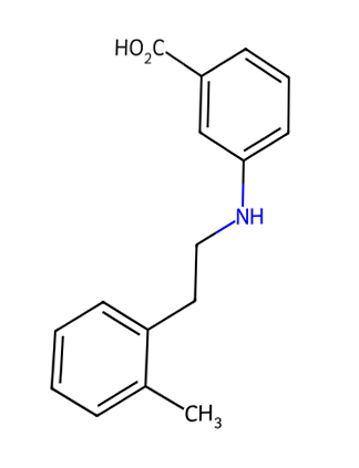 Cc1ccccc1CCNc1cccc(C(=O)O)c1